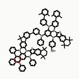 Cc1cccc(C)c1-c1cccc(N2c3cc(-c4c(C)cccc4C)ccc3B3c4sc5cc6c(cc5c4N(c4ccc(C(C)(C)C)cc4)c4cc(N(c5ccccc5)c5cccc(-c7ccc8c(c7)-c7cc9c(cc7C8(C)C)N(c7ccccc7-c7ccccc7)c7cc(N(c8ccccc8)c8ccccc8)cc8c7B9c7sc9cc%10c(cc9c7N8c7ccccc7)C(C)(C)CCC%10(C)C)c5)cc2c43)C(C)(C)CCC6(C)C)c1